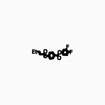 CCC=CC(=O)Oc1ccc(C(=O)Oc2ccc(F)c(F)c2)cc1